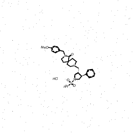 CCCS(=O)(=O)N1C[C@H](CN2CCC3(CC2)CCN(Cc2ccc(OC)cc2)C3=O)[C@@H](c2ccccc2)C1.Cl